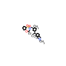 CC[C@@H]1CN(Cc2cc(C(CC(=O)O)c3ccc4c(c3)CN(C)C4)ccc2C)S(=O)(=O)c2ccccc2O1